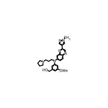 COc1cc(CO)cc(N(CCCN2CCCC2)c2ccc3ncc(-c4cnn(C)c4)nc3c2)c1